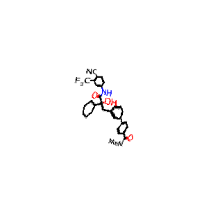 CNC(=O)c1ccc(-c2cccc(CC(O)(C(=O)Nc3ccc(C#N)c(C(F)(F)F)c3)C3CCCCC3)c2)cc1